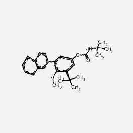 COc1c(-c2ccc3ccccc3c2)cc(OC(=O)NC(C)(C)C)cc1C(C)(C)C